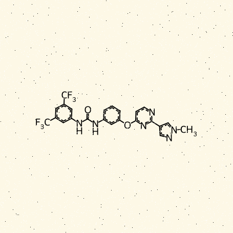 Cn1cc(-c2nccc(Oc3cccc(NC(=O)Nc4cc(C(F)(F)F)cc(C(F)(F)F)c4)c3)n2)cn1